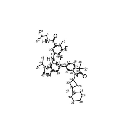 Cc1c(C(=O)NCC(F)F)cc(Nc2nc(-c3ccc4c(c3)N([C@H]3C[C@@](C)(N5CCCCC5)C3)C(=O)C4(C)C)cc3ncn(C(C)C)c23)c(F)c1F